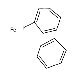 Ic1ccccc1.[Fe].c1ccccc1